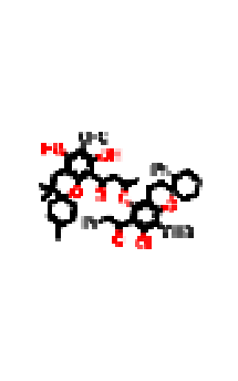 CC1=CCC2(CC1)Oc1c(c(O)c(C=O)c(O)c1C(=O)CC(C)Oc1c3c(c(C=O)c(O)c1C(=O)CC(C)C)O[C@]1(CCCC[C@H]1C(C)C)CC3)CC2(C)C